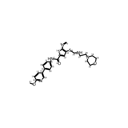 C=Nc1sc(C(=O)Nc2ccc(-c3ccc(OC)nc3)cc2)cc1SCNCCN1CCOCC1